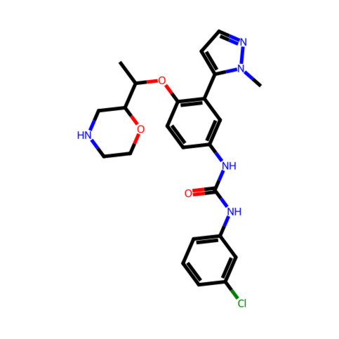 CC(Oc1ccc(NC(=O)Nc2cccc(Cl)c2)cc1-c1ccnn1C)C1CNCCO1